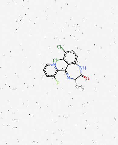 C[C@@H]1N=C(c2ncccc2F)c2c(ccc(Cl)c2Cl)NC1=O